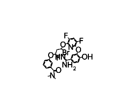 CN(C)C(=O)c1cccc(OC(F)CC(Br)Oc2nc(Oc3cc(C(=N)N)ccc3O)c(F)cc2F)c1